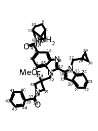 COc1cc(C(=O)N2CC3CCC2[C@@H]3N)cc2nc(-c3cc4ccccc4n3CC3CC3)n(CC3(F)CN(C(=O)c4ccccc4)C3)c12